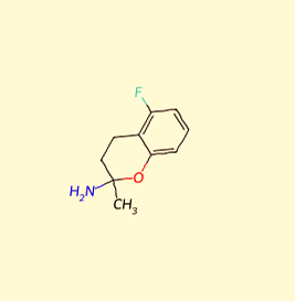 CC1(N)CCc2c(F)cccc2O1